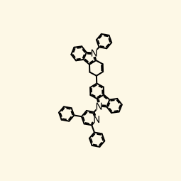 C1=CC(c2ccc3c(c2)c2ccccc2n3-c2cc(-c3ccccc3)cc(-c3ccccc3)n2)Cc2c1n(-c1ccccc1)c1ccccc21